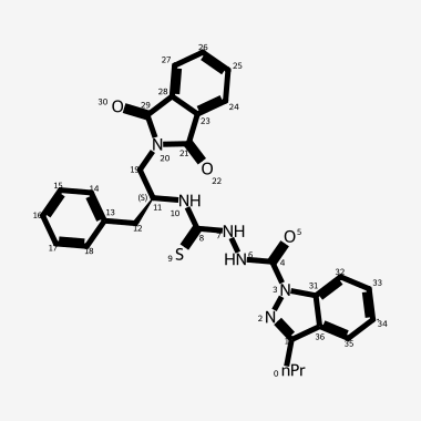 CCCc1nn(C(=O)NNC(=S)N[C@@H](Cc2ccccc2)CN2C(=O)c3ccccc3C2=O)c2cc[c]cc12